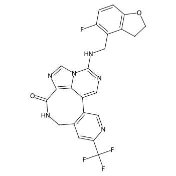 O=C1NCc2cc(C(F)(F)F)ncc2-c2cnc(NCc3c(F)ccc4c3CCO4)n3cnc1c23